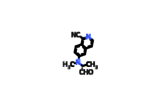 C[C@H](C=O)N(C)c1ccc2c(C#N)nccc2c1